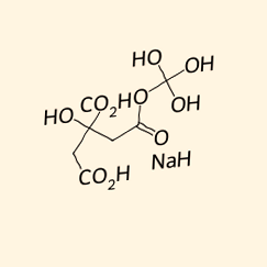 O=C(O)CC(O)(CC(=O)OC(O)(O)O)C(=O)O.[NaH]